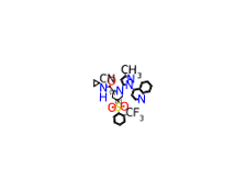 Cc1cc(N2C[C@H](S(=O)(=O)c3ccccc3C(F)(F)F)C[C@H]2C(=O)NC2(C#N)CC2)n(-c2ccnc3ccccc23)n1